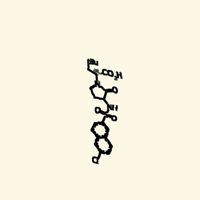 CC(C)(C)C[C@H](C(=O)O)N1CCC(NS(=O)(=O)c2ccc3cc(Cl)ccc3c2)C1=O